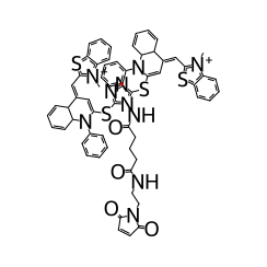 C[n+]1c(/C=C2\C=C(Sc3nnc(SC4=C/C(=C\c5sc6ccccc6[n+]5C)C5C=CC=CC5N4c4ccccc4)n3NC(=O)CCCC(=O)NCCN3C(=O)C=CC3=O)N(c3ccccc3)C3C=CC=CC23)sc2ccccc21